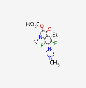 CCc1c(F)c(N2CCN(C)CC2)c(F)c2c1c(=O)c(OC(=O)O)cn2C1CC1